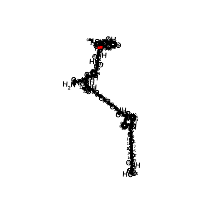 CCC[C@H]1O[C@@H]2C[C@H]3[C@@H]4CCC5=CC(=O)C=C[C@]5(C)[C@H]4[C@@H](O)C[C@]3(C)[C@]2(C(=O)COCNC(=O)CNC(=O)OCc2ccc(NC(=O)[C@H](CCCNC(N)=O)NC(=O)[C@@H](NC(=O)CCOCCOCCOCCOCCNC(=O)CCC(=O)N3Cc4ccccc4-c4c(nnn4CCOCCOCCOCCOCCC(=O)NCCS(=O)(=O)O)-c4ccccc43)C(C)C)cc2)O1